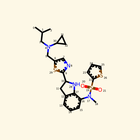 CC(C)CN(Cc1cnc(C2Cc3cccc(N(C)S(=O)(=O)c4cccs4)c3N2)s1)C1CC1